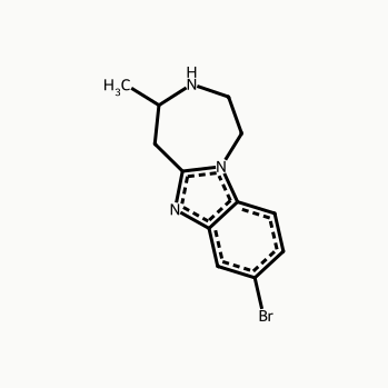 CC1Cc2nc3cc(Br)ccc3n2CCN1